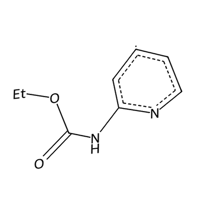 CCOC(=O)Nc1c[c]ccn1